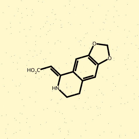 O=C(O)/C=C1\NCCc2cc3c(cc21)OCO3